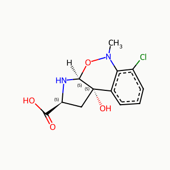 CN1O[C@@H]2N[C@H](C(=O)O)C[C@]2(O)c2cccc(Cl)c21